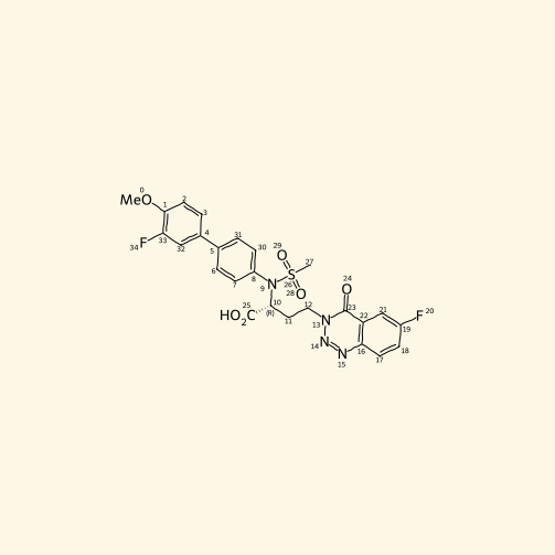 COc1ccc(-c2ccc(N([C@H](CCn3nnc4ccc(F)cc4c3=O)C(=O)O)S(C)(=O)=O)cc2)cc1F